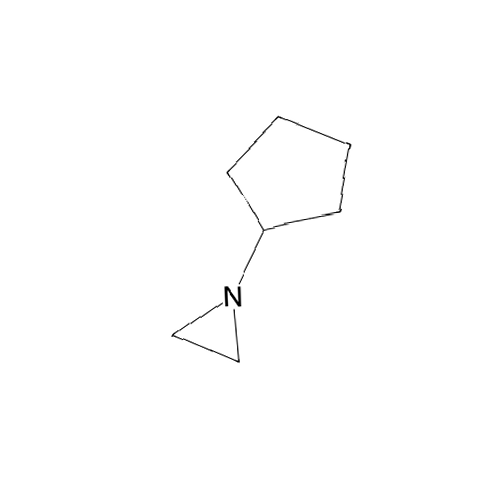 C1CCC(N2CC2)C1